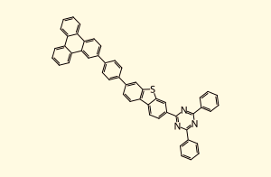 c1ccc(-c2nc(-c3ccccc3)nc(-c3ccc4c(c3)sc3cc(-c5ccc(-c6ccc7c8ccccc8c8ccccc8c7c6)cc5)ccc34)n2)cc1